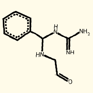 N=C(N)NC(NC[C]=O)c1ccccc1